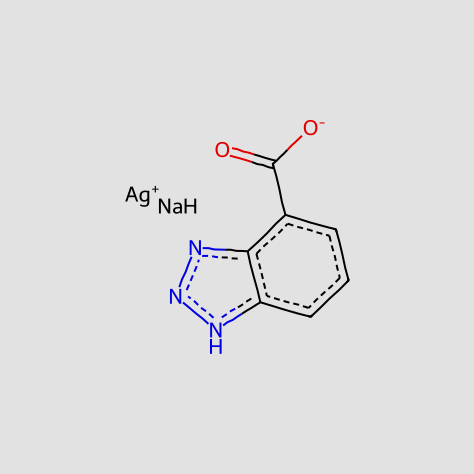 O=C([O-])c1cccc2[nH]nnc12.[Ag+].[NaH]